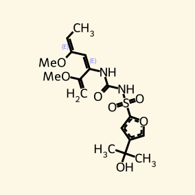 C=C(OC)/C(=C\C(=C/C)OC)NC(=O)NS(=O)(=O)c1cc(C(C)(C)O)co1